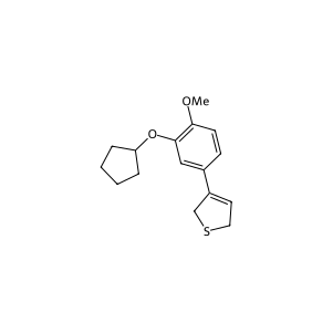 COc1ccc(C2=CCSC2)cc1OC1CCCC1